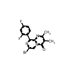 Cc1nc2c(-c3ccc(F)cc3F)nc(Br)cn2c(=O)c1C